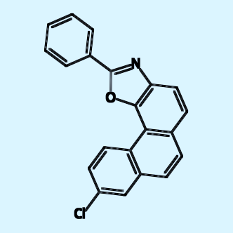 Clc1ccc2c(ccc3ccc4nc(-c5ccccc5)oc4c32)c1